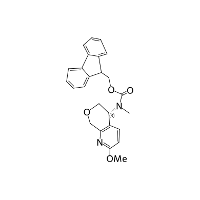 COc1ccc2c(n1)COC[C@@H]2N(C)C(=O)OCC1c2ccccc2-c2ccccc21